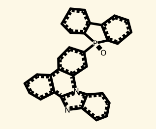 O=P1(c2ccc3c4ccccc4c4nc5ccccc5n4c3c2)c2ccccc2-c2ccccc21